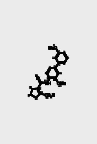 COc1cccc(-c2ccc(NC(=O)C3=C(C(=O)O)CCC3)c(OC)c2)c1